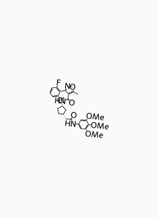 COc1cc(NC(=O)C[C@@H]2CC[C@H](NC(=O)c3c(-c4c(F)cccc4Cl)noc3C)C2)cc(OC)c1OC